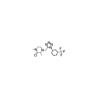 CC1C(=O)N(C)CCN1Cc1nnnn1-c1cccc(C(F)(F)F)c1